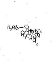 C[C@H](NC(=O)c1c(N)nn2cccnc12)c1[nH]c2cccc(C#Cc3ccn(C)n3)c2c1-c1ccccc1